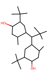 CC1CC(O)C(C(C)(C)C)CC1C(C1CC(C(C)(C)C)C(O)CC1C)C(C)(C)C